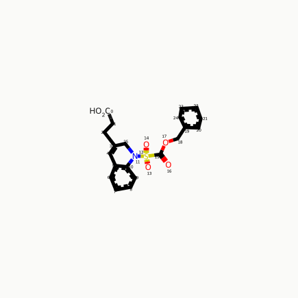 O=C(O)CCC1=Cc2ccccc2N(S(=O)(=O)C(=O)OCc2ccccc2)C1